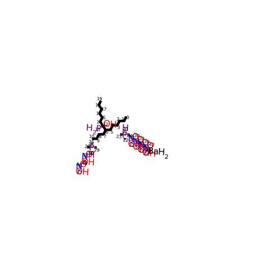 CCCCCCC(CCCC)C(O)(P)CCCCCC.C[PH](C)(C)C.C[PH](C)(C)C.O=NO.O=NO.O=NO.O=NO.O=NO.O=NO.[BaH2]